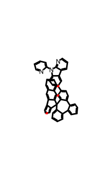 c1ccc(-n2c3ccc(-c4ccc5c(c4)C4(c6ccccc6-c6ccccc6-5)c5ccccc5-c5cc6ccccc6cc54)cc3c3cccnc32)nc1